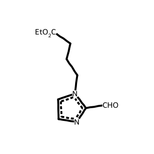 CCOC(=O)CCCn1ccnc1C=O